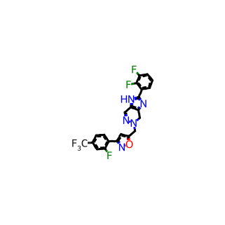 Fc1cc(C(F)(F)F)ccc1-c1cc(CN2Cc3nc(-c4cccc(F)c4F)[nH]c3C=N2)on1